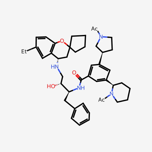 CCc1ccc2c(c1)[C@@H](NC[C@@H](O)[C@H](Cc1ccccc1)NC(=O)c1cc([C@@H]3CCN(C(C)=O)C3)cc([C@H]3CCCCN3C(C)=O)c1)CC1(CCCC1)O2